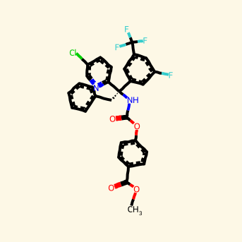 COC(=O)c1ccc(OC(=O)N[C@](Cc2ccccc2)(c2cc(F)cc(C(F)(F)F)c2)c2ccc(Cl)cn2)cc1